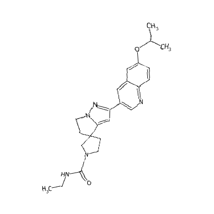 CCNC(=O)N1CCC2(CCn3nc(-c4cnc5ccc(OC(C)C)cc5c4)cc32)C1